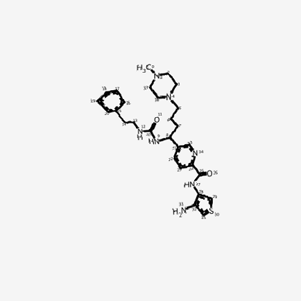 CN1CCN(CCCC(NC(=O)NCCc2ccccc2)c2ccc(C(=O)Nc3cscc3N)nc2)CC1